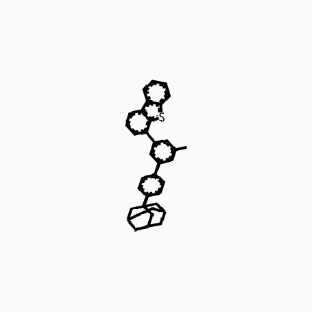 Cc1cc(-c2ccc(C34CC5CC(CC(C5)C3)C4)cc2)cc(-c2cccc3c2sc2ccccc23)c1